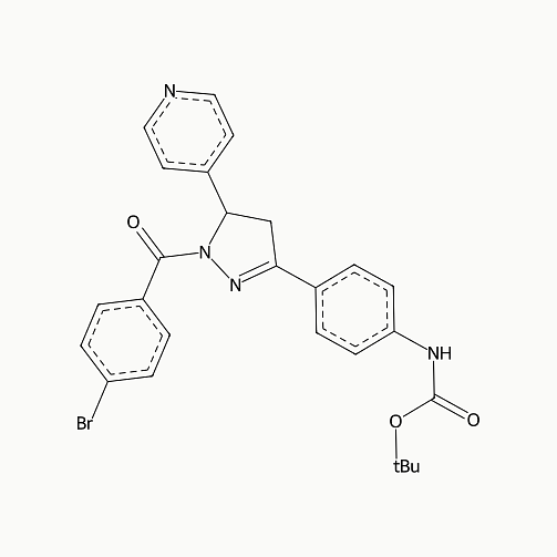 CC(C)(C)OC(=O)Nc1ccc(C2=NN(C(=O)c3ccc(Br)cc3)C(c3ccncc3)C2)cc1